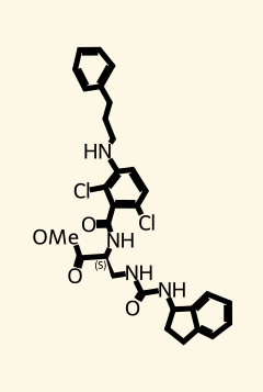 COC(=O)[C@H](CNC(=O)NC1CCc2ccccc21)NC(=O)c1c(Cl)ccc(NCCCc2ccccc2)c1Cl